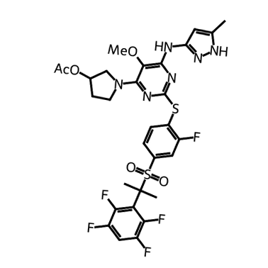 COc1c(Nc2cc(C)[nH]n2)nc(Sc2ccc(S(=O)(=O)C(C)(C)c3c(F)c(F)cc(F)c3F)cc2F)nc1N1CCC(OC(C)=O)C1